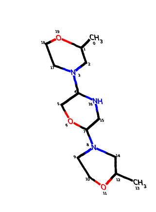 CC1CN(C2COC(N3CCOC(C)C3)CN2)CCO1